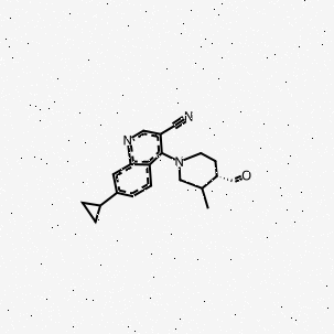 CC1CN(c2c(C#N)cnc3cc(C4CC4)ccc23)CC[C@@H]1C=O